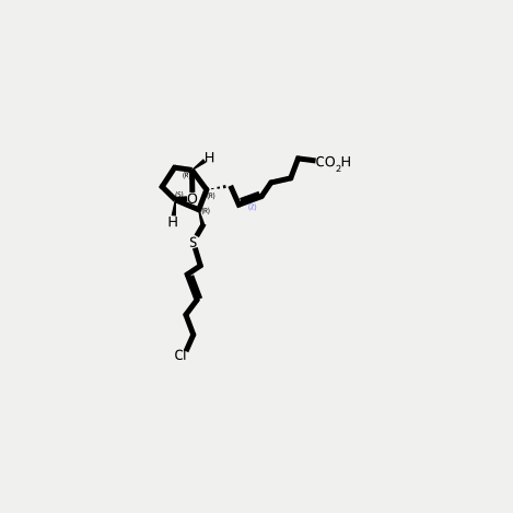 O=C(O)CCC/C=C\C[C@@H]1[C@@H](CSCC=CCCCl)[C@@H]2CC[C@H]1O2